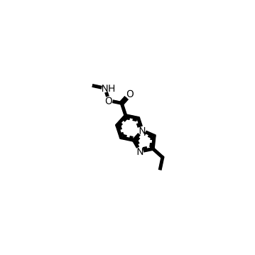 CCc1cn2cc(C(=O)ONC)ccc2n1